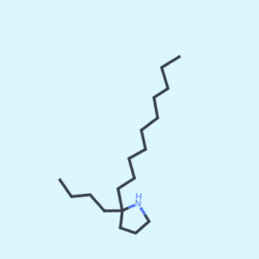 CCCCCCCCCCC1(CCCC)CCCN1